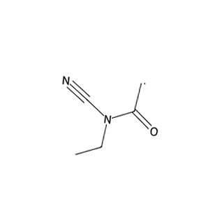 [CH2]C(=O)N(C#N)CC